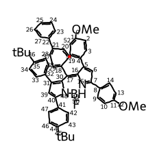 COc1ccc(C2=CC(c3ccc(OC)cc3)=N/C2=C(/c2ccc(-c3ccccc3)cc2)c2c(-c3ccc(C(C)(C)C)cc3)cc(-c3ccc(C(C)(C)C)cc3)n2BF)cc1